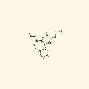 C=CCN1CCc2ccccc2C(NC(=O)OCC)C1=O